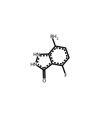 Bc1ccc(F)c2c(=O)[nH][nH]c12